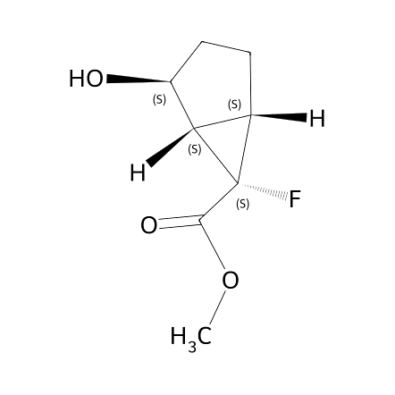 COC(=O)[C@@]1(F)[C@@H]2[C@@H](O)CC[C@@H]21